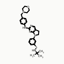 CC(C)(C)NSc1cccc(N2CCc3cnc(Nc4ccc(CN5CCOCC5)cc4)nc32)c1